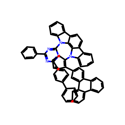 C1=CC(c2ccc3c4ccccc4c4ccccc4c3c2)=C(n2c3ccccc3c3ccc4c5ccccc5n(-c5nc(-c6ccccc6)nc(-c6ccc(-c7ccccc7)cc6)n5)c4c32)CC1